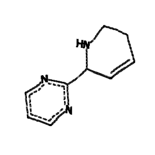 C1=CC(c2ncccn2)NCC1